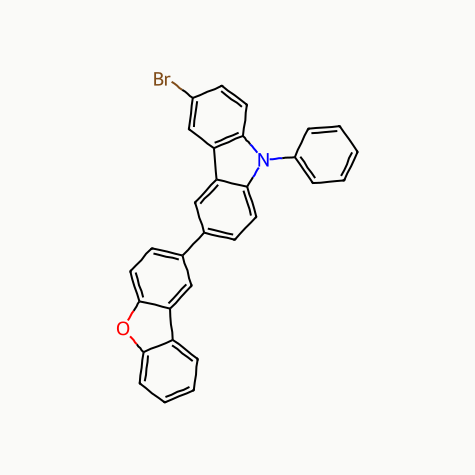 Brc1ccc2c(c1)c1cc(-c3ccc4oc5ccccc5c4c3)ccc1n2-c1ccccc1